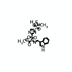 COC(=O)N(/N=C/c1c[nH]c2ccccc12)S(=O)(=O)c1ncn(S(=O)(=O)N(C)C)n1